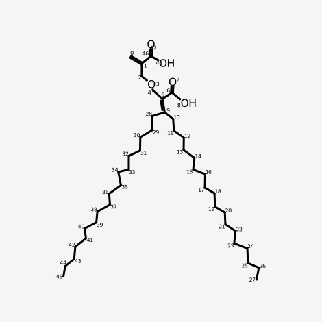 C=C(COCC(C(=O)O)=C(CCCCCCCCCCCCCCCCCC)CCCCCCCCCCCCCCCCCC)C(=O)O